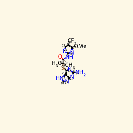 COc1nc(NC(=O)C(C)(C)Sc2nc(N)nc3nc[nH]c23)ncc1C(F)(F)F